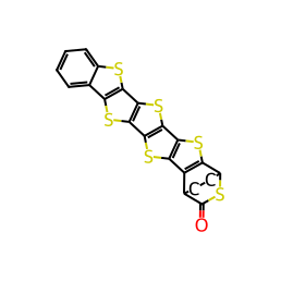 O=C1SC2CCC1c1c2sc2c1sc1c2sc2c3sc4ccccc4c3sc12